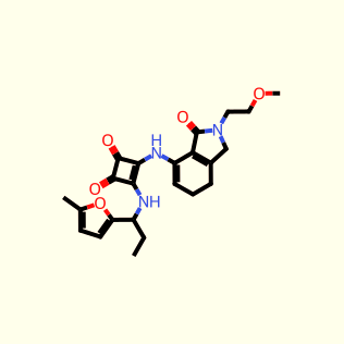 CCC(Nc1c(NC2=CCCC3=C2C(=O)N(CCOC)C3)c(=O)c1=O)c1ccc(C)o1